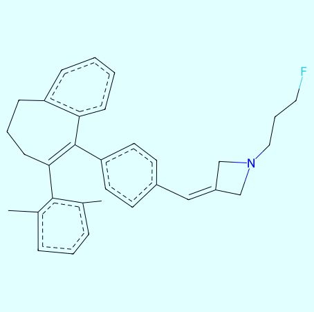 Cc1cccc(C)c1C1=C(c2ccc(C=C3CN(CCCF)C3)cc2)c2ccccc2CCC1